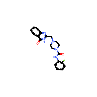 O=C(Nc1ccccc1F)N1CCN(Cc2nc3ccccc3c(=O)[nH]2)CC1